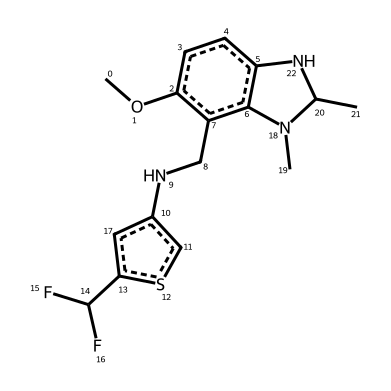 COc1ccc2c(c1CNc1csc(C(F)F)c1)N(C)C(C)N2